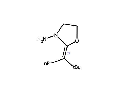 CCC/C(=C1/OCCN1N)C(C)(C)C